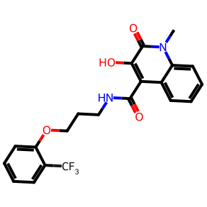 Cn1c(=O)c(O)c(C(=O)NCCCOc2ccccc2C(F)(F)F)c2ccccc21